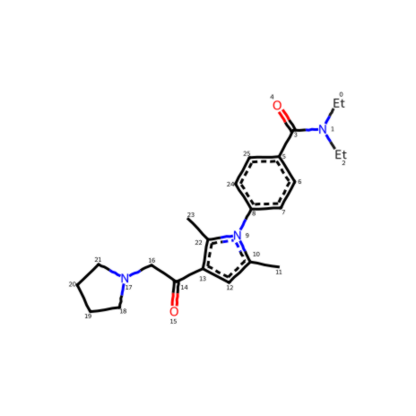 CCN(CC)C(=O)c1ccc(-n2c(C)cc(C(=O)CN3CCCC3)c2C)cc1